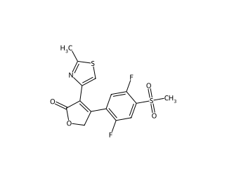 Cc1nc(C2=C(c3cc(F)c(S(C)(=O)=O)cc3F)COC2=O)cs1